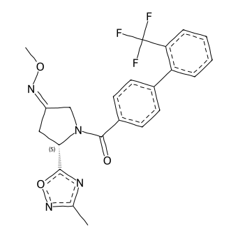 CON=C1C[C@@H](c2nc(C)no2)N(C(=O)c2ccc(-c3ccccc3C(F)(F)F)cc2)C1